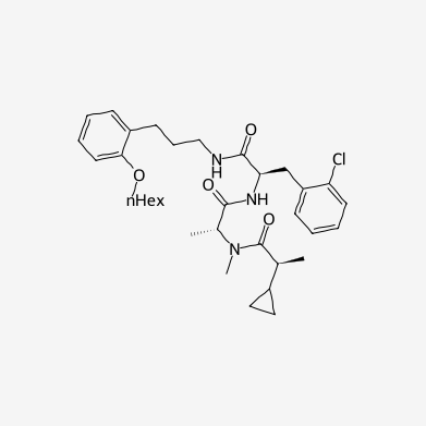 CCCCCCOc1ccccc1CCCNC(=O)[C@@H](Cc1ccccc1Cl)NC(=O)[C@@H](C)N(C)C(=O)[C@@H](C)C1CC1